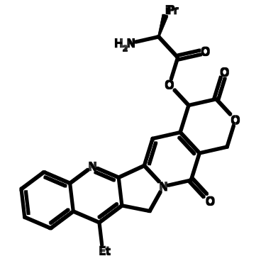 CCc1c2c(nc3ccccc13)-c1cc3c(c(=O)n1C2)COC(=O)C3OC(=O)[C@@H](N)C(C)C